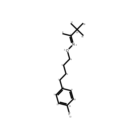 C/C(=N\OCCCCc1ccc(F)cc1)C(C)(C)C